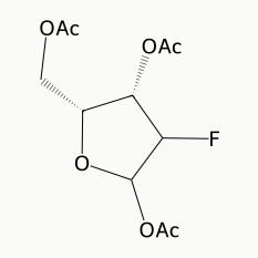 CC(=O)OC[C@H]1OC(OC(C)=O)C(F)[C@H]1OC(C)=O